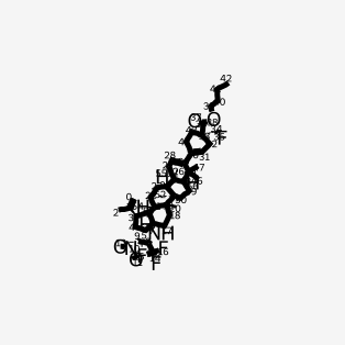 C=C(C)[C@@H]1CC[C@]2(NC(C[N+](=O)[O-])C(F)(F)F)CC[C@]3(C)[C@H](CC[C@@H]4[C@@]5(C)CC=C(C6=CC[C@](CF)(C(=O)OCCCC)CC6)C(C)(C)[C@@H]5CC[C@]43C)[C@@H]12